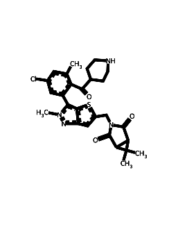 Cc1cc(Cl)cc(-c2c3sc(CN4C(=O)C5C(C4=O)C5(C)C)cc3nn2C)c1C(=O)C1CCNCC1